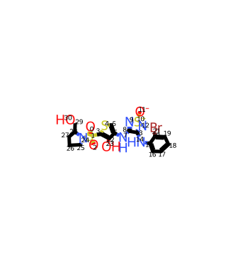 O=S(=O)(c1scc(Nc2n[s+]([O-])nc2Nc2ccccc2Br)c1O)N1CCCC1CO